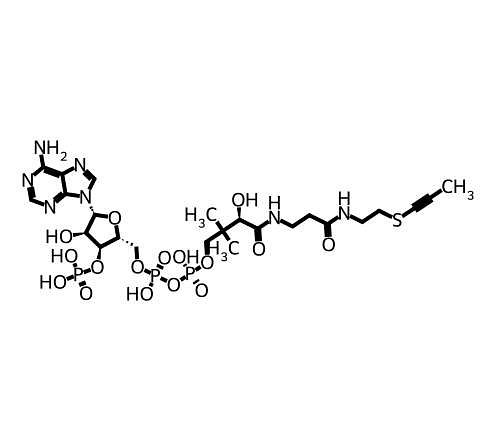 CC#CSCCNC(=O)CCNC(=O)[C@H](O)C(C)(C)COP(=O)(O)OP(=O)(O)OC[C@H]1O[C@@H](n2cnc3c(N)ncnc32)[C@H](O)[C@@H]1OP(=O)(O)O